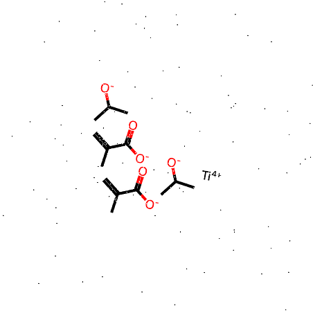 C=C(C)C(=O)[O-].C=C(C)C(=O)[O-].CC(C)[O-].CC(C)[O-].[Ti+4]